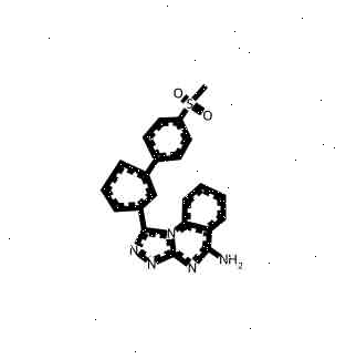 CS(=O)(=O)c1ccc(-c2cccc(-c3nnc4nc(N)c5ccccc5n34)c2)cc1